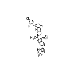 CC(c1nc2cc(-c3nnc(C(F)(F)F)[nH]3)ncc2n1C[C@@H]1CCO1)N1CCc2cc(C(F)(F)F)c(OCc3ccc(Cl)cc3F)nc2C1